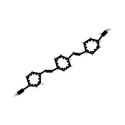 N#Cc1ccc(/C=C/c2ccc(/C=C/c3ccc(C#N)cc3)cc2)cc1